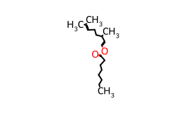 CCCCCCCC(=O)O/C=C/C(C)CCC=C(C)C